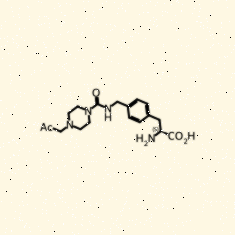 CC(=O)CN1CCN(C(=O)NCc2ccc(C[C@H](N)C(=O)O)cc2)CC1